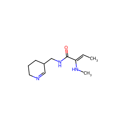 C/C=C(\NC)C(=O)NCC1C=NCCC1